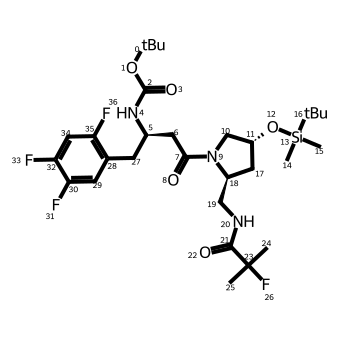 CC(C)(C)OC(=O)N[C@@H](CC(=O)N1C[C@H](O[Si](C)(C)C(C)(C)C)C[C@H]1CNC(=O)C(C)(C)F)Cc1cc(F)c(F)cc1F